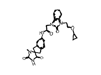 CN1C(=O)NC(=O)C12Cc1ccc(NC(=O)Cn3c(=O)n(CCOC4CC4)c4ccccc43)cc1C2